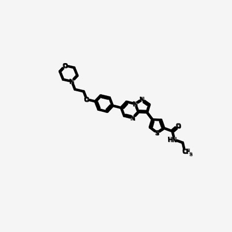 O=C(NCC(F)(F)F)c1cc(-c2cnn3cc(-c4ccc(OCCN5CCOCC5)cc4)cnc23)cs1